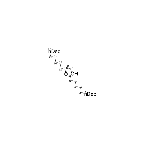 C=CO.CCCCCCCCCCCCCCCCOCCCCCCCCCCCCCCCC